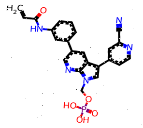 C=CC(=O)Nc1cccc(-c2cnc3c(c2)c(-c2ccnc(C#N)c2)cn3COP(=O)(O)O)c1